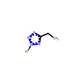 CCc1nnn(Br)n1